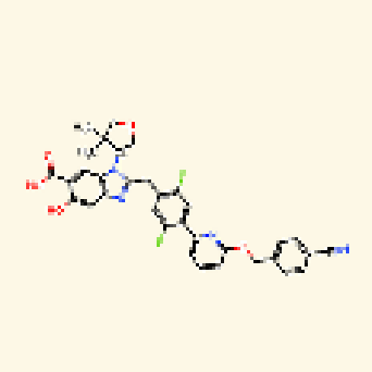 CC1(C)COC[C@H]1n1c(Cc2cc(F)c(-c3cccc(OCc4ccc(C#N)cc4)n3)cc2F)nc2cc(O)c(C(=O)O)cc21